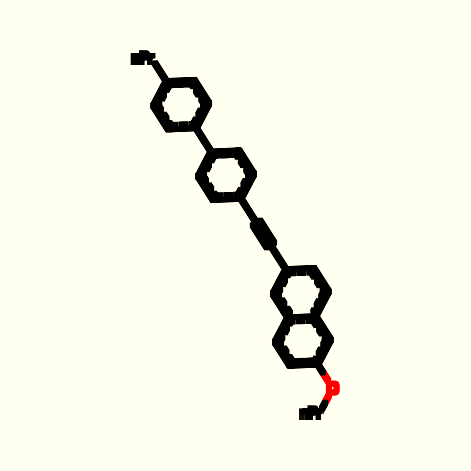 CCCOc1ccc2cc(C#Cc3ccc(-c4ccc(CCC)cc4)cc3)ccc2c1